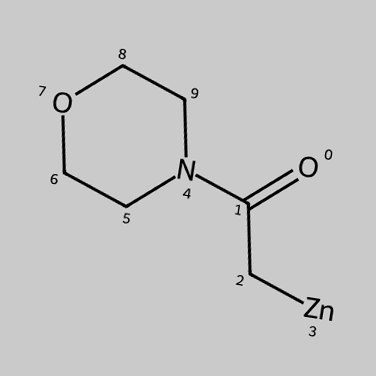 O=C([CH2][Zn])N1CCOCC1